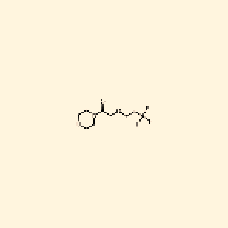 O=C(CO[CH]CC(F)(F)F)N1CCOCC1